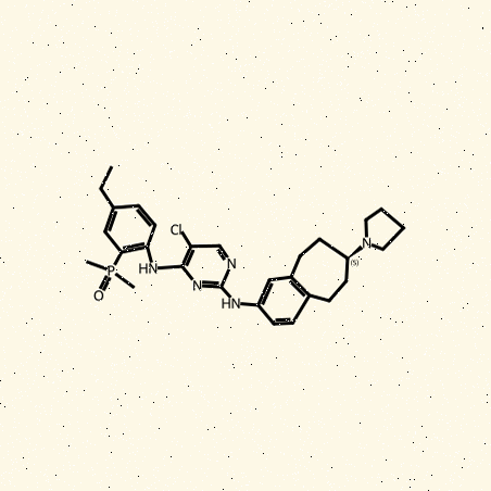 CCc1ccc(Nc2nc(Nc3ccc4c(c3)CC[C@@H](N3CCCC3)CC4)ncc2Cl)c(P(C)(C)=O)c1